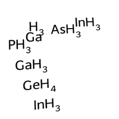 P.[AsH3].[GaH3].[GaH3].[GeH4].[InH3].[InH3]